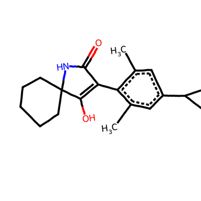 Cc1cc(C2CC2)cc(C)c1C1=C(O)C2(CCCCC2)NC1=O